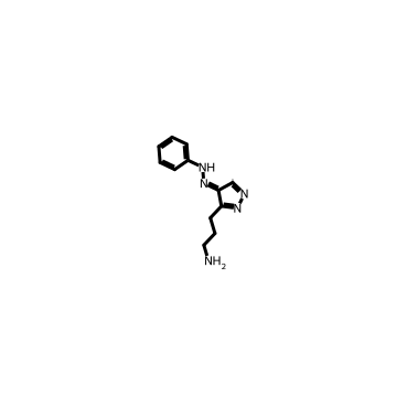 NCCCC1=NN=[C]C1=NNc1ccccc1